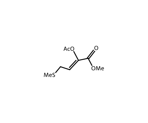 COC(=O)/C(=C/CSC)OC(C)=O